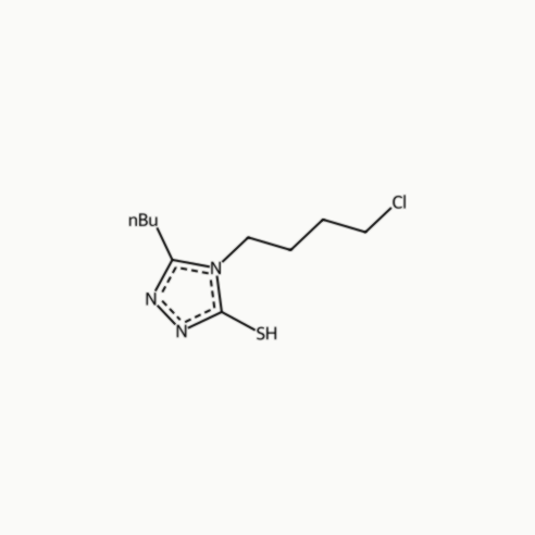 CCCCc1nnc(S)n1CCCCCl